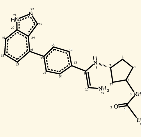 CCC(=O)NC1CC[C@@H](N/C(=C\N)c2ccc(-c3cccc4[nH]ncc34)cc2)C1